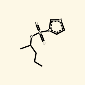 CCCC(C)OS(=O)(=O)n1ccnc1